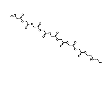 CC(=O)OCCNCCOC(=O)COC(=O)COC(=O)COC(=O)COC(=O)COC(=O)COC(=O)COC(=O)COC(C)=O